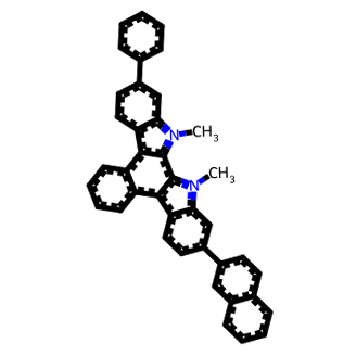 Cn1c2cc(-c3ccccc3)ccc2c2c3ccccc3c3c4ccc(-c5ccc6ccccc6c5)cc4n(C)c3c21